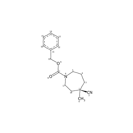 C[C@@]1(C#N)CCCN(C(=O)OCc2ccccc2)CC1